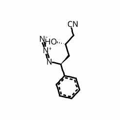 N#CC[C@@H](O)C[C@H](N=[N+]=[N-])c1ccccc1